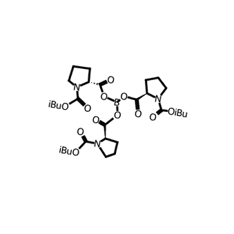 CC(C)COC(=O)N1CCC[C@@H]1C(=O)OB(OC(=O)[C@H]1CCCN1C(=O)OCC(C)C)OC(=O)[C@H]1CCCN1C(=O)OCC(C)C